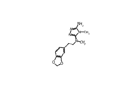 CN(CCc1ccc2c(c1)OCO2)c1nnc(N)n1C